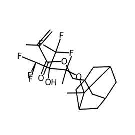 C=C(C)C(=O)OCC12CC3CC(C1)C(C)(OC(C)(C)C(O)(C(F)(F)F)C(F)(F)F)C(C3)C2